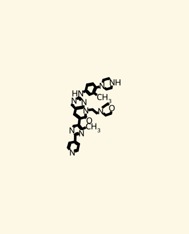 Cc1cc(Nc2ncc3cc(-c4cnc(-c5ccncc5)nc4C)c(=O)n(CCN4CCOCC4)c3n2)ccc1N1CCNCC1